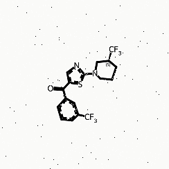 O=C(c1cccc(C(F)(F)F)c1)c1cnc(N2CCC[C@H](C(F)(F)F)C2)s1